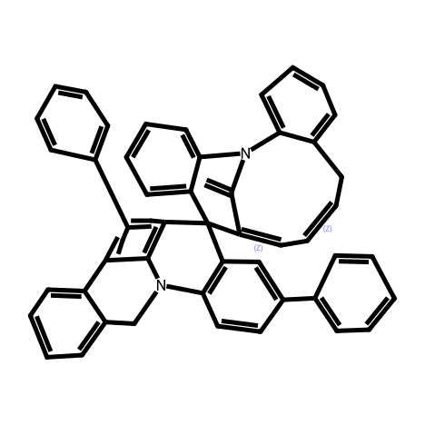 C=C1/C2=C\C=C/Cc3ccccc3N1c1ccccc1C21c2cc(-c3ccccc3)ccc2N2Cc3ccccc3-c3cc(-c4ccccc4)cc1c32